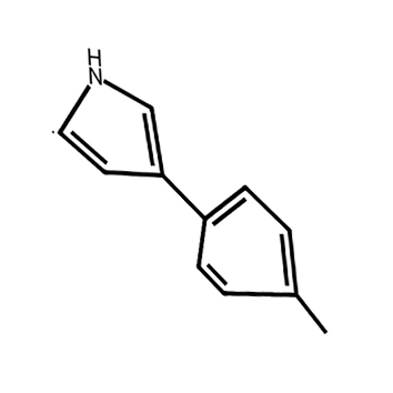 Cc1ccc(-c2c[c][nH]c2)cc1